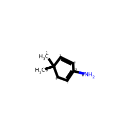 CC1(C)C=CC(N)=CC1